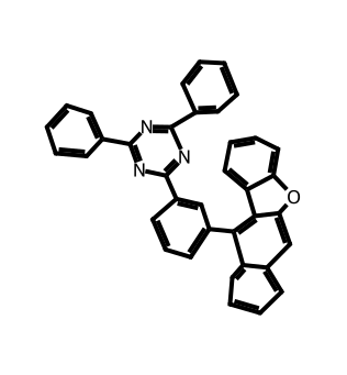 c1ccc(-c2nc(-c3ccccc3)nc(-c3cccc(-c4c5ccccc5cc5oc6ccccc6c45)c3)n2)cc1